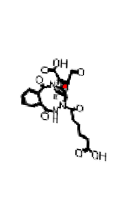 O=CC1=C(C(=O)O)[N+]23C(=O)c4ccccc4C(=O)NN(C(=O)CCCCC(=O)O)C(C2=O)[C@@H]3SC1